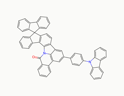 O=c1c2ccccc2c2cc(-c3ccc(-n4c5ccccc5c5ccccc54)cc3)cc3c4ccc5c(c4n1c23)-c1ccccc1C51c2ccccc2-c2ccccc21